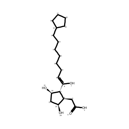 O=C(O)C[C@@H]1[C@@H](C(O)=CCCCCCCC2CCCC2)[C@H](O)C[C@@H]1O